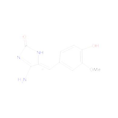 COc1cc(/C=C2\NC(=O)N=C2N)ccc1O